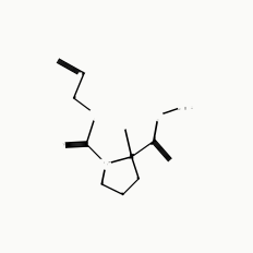 C=CCOC(=O)N1CCCC1(C)C(=O)SCCCC